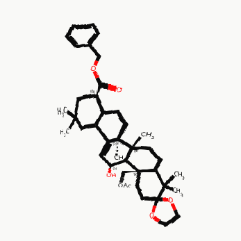 CC(=O)OC[C@]12CCC3(OCCO3)C(C)(C)C1CC[C@]1(C)C2[C@@H](O)C=C2C3CC(C)(C)C[C@@H](C(=O)OCc4ccccc4)C3CC[C@]21C